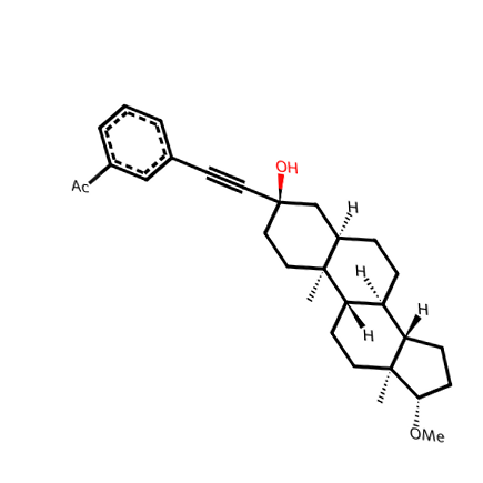 CO[C@H]1CC[C@H]2[C@@H]3CC[C@@H]4C[C@@](O)(C#Cc5cccc(C(C)=O)c5)CC[C@]4(C)[C@H]3CC[C@]12C